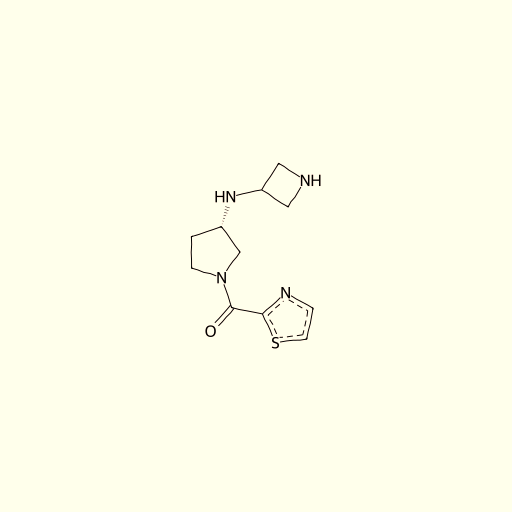 O=C(c1nccs1)N1CC[C@H](NC2CNC2)C1